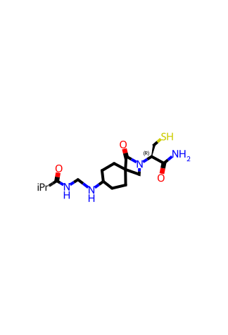 CC(C)C(=O)NCNC1CCC2(CC1)CN([C@@H](CS)C(N)=O)C2=O